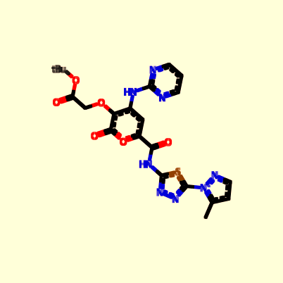 Cc1ccnn1-c1nnc(NC(=O)c2cc(Nc3ncccn3)c(OCC(=O)OC(C)(C)C)c(=O)o2)s1